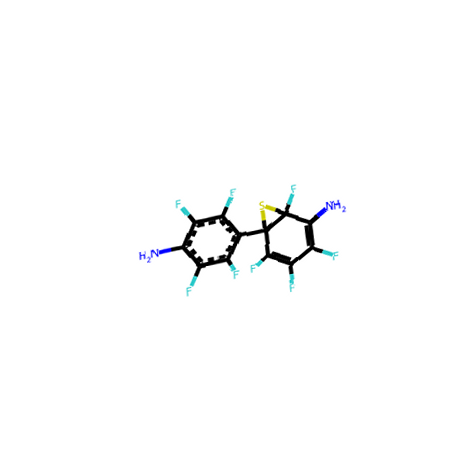 NC1=C(F)C(F)=C(F)C2(c3c(F)c(F)c(N)c(F)c3F)SC12F